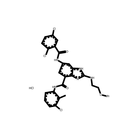 Cc1c(Cl)cccc1NC(=O)c1cc(NC(=O)c2cc(Cl)ccc2Cl)cc2[nH]c(NCCOC(C)C)nc12.Cl